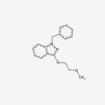 COCCOc1nn(Cc2ccccc2)c2ccccc12